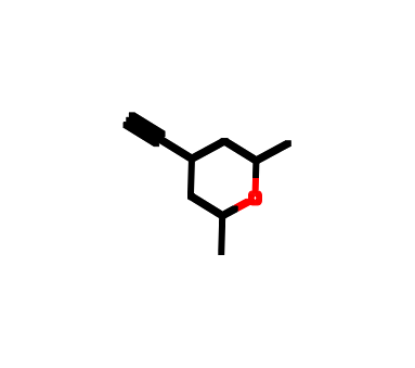 C#CC1CC(C)OC(C)C1